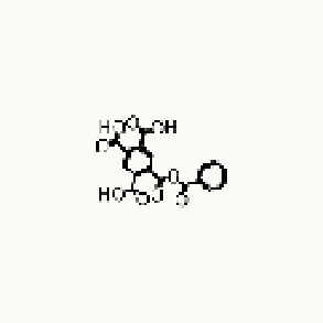 O=C(OC(=O)c1cc(C(=O)O)c(C(=O)O)cc1C(=O)O)c1ccccc1